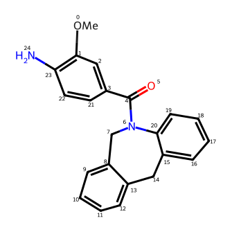 COc1cc(C(=O)N2Cc3ccccc3Cc3ccccc32)ccc1N